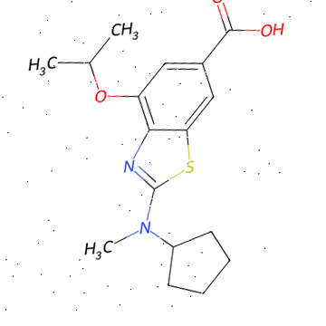 CC(C)Oc1cc(C(=O)O)cc2sc(N(C)C3CCCC3)nc12